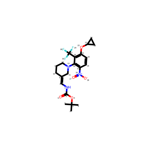 CC(C)(C)OC(=O)N/C=C1/CCCN(c2c([N+](=O)[O-])ccc(OC3CC3)c2C(F)(F)F)C1